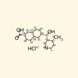 Cc1ccncc1C(O)c1ccc2cc(C(=O)O)ccc2c1.Cl